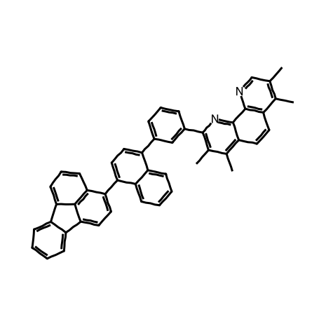 Cc1cnc2c(ccc3c(C)c(C)c(-c4cccc(-c5ccc(-c6ccc7c8c(cccc68)-c6ccccc6-7)c6ccccc56)c4)nc32)c1C